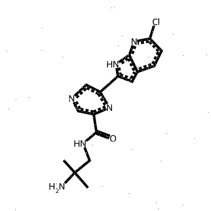 CC(C)(N)CNC(=O)c1cncc(-c2cc3ccc(Cl)nc3[nH]2)n1